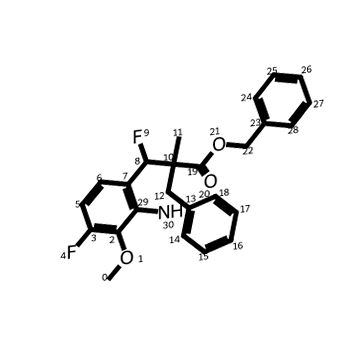 COc1c(F)ccc(C(F)C(C)(Cc2ccccc2)C(=O)OCc2ccccc2)c1N